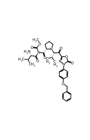 COC(=O)N(C(=O)[C@@H](N)C(C)C)C(=O)[C@@H]1CCCN1[C@H](C(=O)c1nn(-c2ccc(OCc3ccccc3)cc2)c(=O)o1)C(C)C